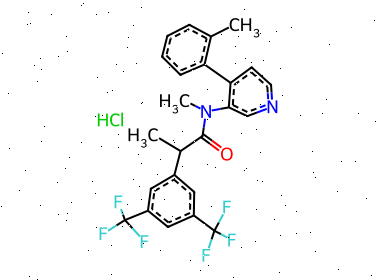 Cc1ccccc1-c1ccncc1N(C)C(=O)C(C)c1cc(C(F)(F)F)cc(C(F)(F)F)c1.Cl